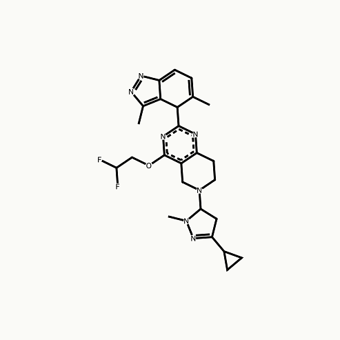 CC1=CC=C2N=NC(C)=C2C1c1nc2c(c(OCC(F)F)n1)CN(C1CC(C3CC3)=NN1C)CC2